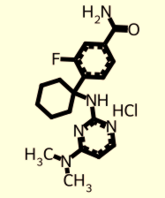 CN(C)c1ccnc(NC2(c3ccc(C(N)=O)cc3F)CCCCC2)n1.Cl